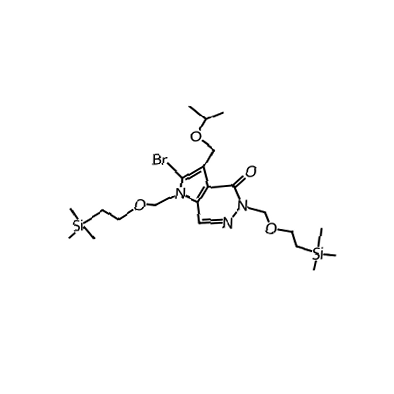 CC(C)OCc1c(Br)n(COCC[Si](C)(C)C)c2cnn(COCC[Si](C)(C)C)c(=O)c12